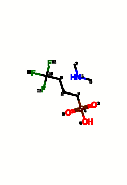 CNC.O=S(=O)(O)CCCC(F)(F)F